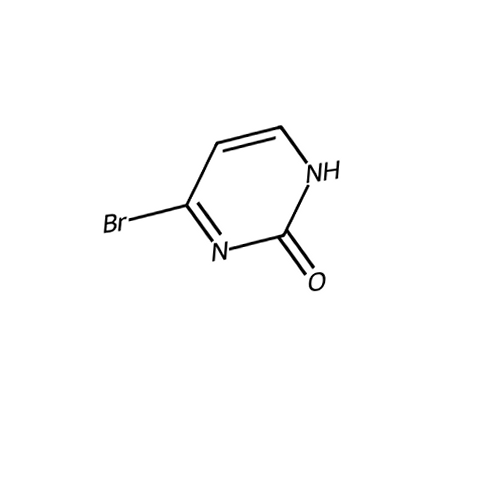 O=c1nc(Br)cc[nH]1